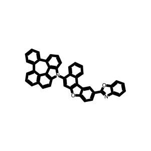 c1ccc2c(c1)-c1cccc3ccc4c(c13)c1c-2cccc1n4-c1cc2oc3ccc(-c4nc5ccccc5o4)cc3c2c2ccccc12